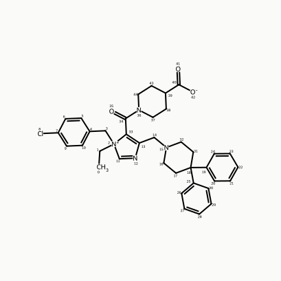 CC[N+]1(Cc2ccc(Cl)cc2)C=NC(CN2CCC(c3ccccc3)(c3ccccc3)CC2)=C1C(=O)N1CCC(C(=O)[O-])CC1